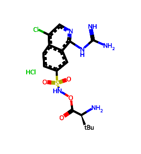 CC(C)(C)[C@H](N)C(=O)ONS(=O)(=O)c1ccc2c(Cl)cnc(NC(=N)N)c2c1.Cl